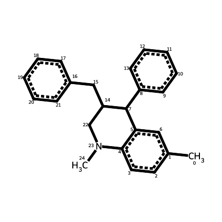 Cc1ccc2c(c1)C(c1ccccc1)C(Cc1ccccc1)CN2C